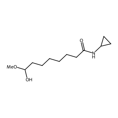 COC(O)CCCCCCC(=O)NC1CC1